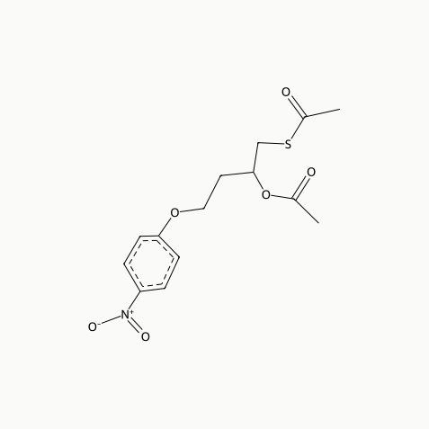 CC(=O)OC(CCOc1ccc([N+](=O)[O-])cc1)CSC(C)=O